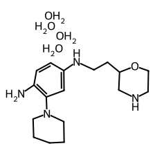 Nc1ccc(NCCC2CNCCO2)cc1N1CCCCC1.O.O.O.O